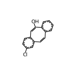 O/C1=C/c2ccc(Cl)cc2/C=C\c2ccccc21